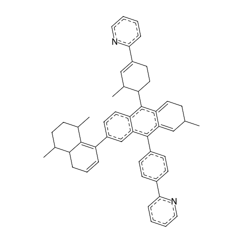 CC1C=c2c(-c3ccc(-c4ccccn4)cc3)c3cc(C4=C5C(C)CCC(C)C5CC=C4)ccc3c(C3CCC(c4ccccn4)=CC3C)c2=CC1